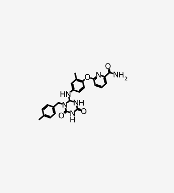 Cc1ccc(CN2C(=O)NC(=O)NC2Nc2ccc(Oc3cccc(C(N)=O)n3)c(C)c2)cc1